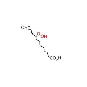 O=C/C=C/C(CCCCCCCC(=O)O)OO